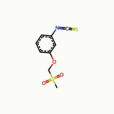 CS(=O)(=O)COc1cccc(N=C=S)c1